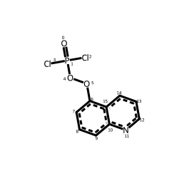 O=P(Cl)(Cl)OOc1cccc2ncccc12